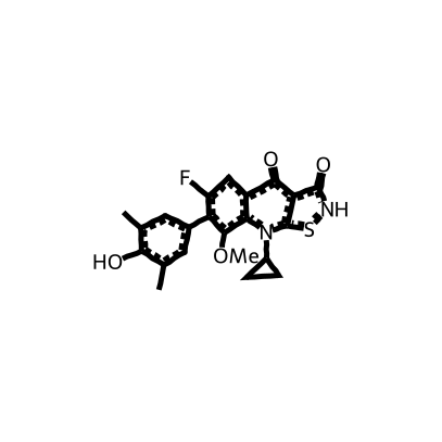 COc1c(-c2cc(C)c(O)c(C)c2)c(F)cc2c(=O)c3c(=O)[nH]sc3n(C3CC3)c12